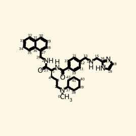 CN(CCC[C@H](NC(=O)c1ccc(CNCc2ncc[nH]2)cc1)C(=O)NCc1cccc2ccccc12)C1CCCCC1